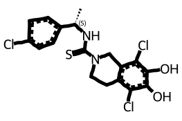 C[C@H](NC(=S)N1CCc2c(Cl)c(O)c(O)c(Cl)c2C1)c1ccc(Cl)cc1